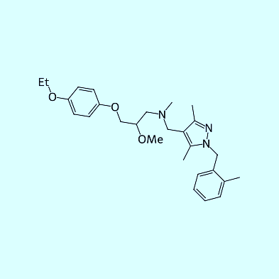 CCOc1ccc(OCC(CN(C)Cc2c(C)nn(Cc3ccccc3C)c2C)OC)cc1